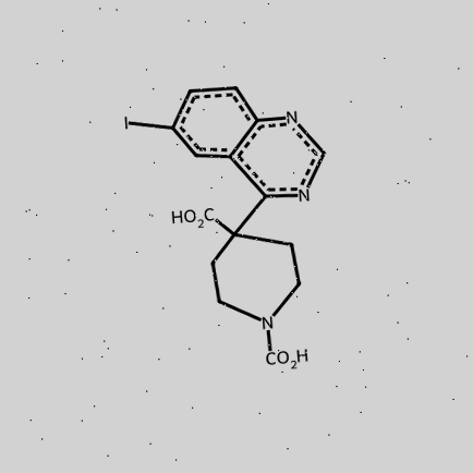 O=C(O)N1CCC(C(=O)O)(c2ncnc3ccc(I)cc23)CC1